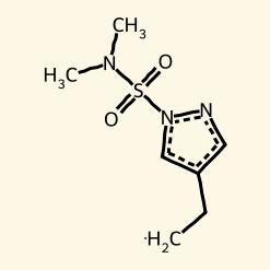 [CH2]Cc1cnn(S(=O)(=O)N(C)C)c1